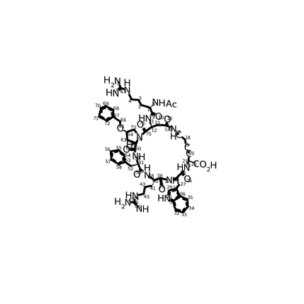 CC(=O)N[C@@H](CCCNC(=N)N)C(=O)N[C@H]1CC(=O)NCCCC[C@@H](C(=O)O)NC(=O)[C@H](Cc2c[nH]c3ccccc23)NC(=O)[C@H](CCCNC(=N)N)NC(=O)[C@@H](Cc2ccccc2)NC(=O)[C@@H]2C[C@@H](OCc3ccccc3)CN2C1=O